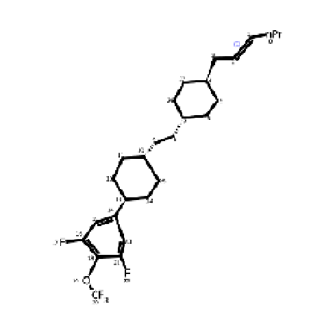 CCC/C=C/C[C@H]1CC[C@H](CC[C@H]2CC[C@H](c3cc(F)c(OC(F)(F)F)c(F)c3)CC2)CC1